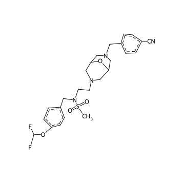 CS(=O)(=O)N(CCN1CC2CN(Cc3ccc(C#N)cc3)CC(C1)O2)Cc1ccc(OC(F)F)cc1